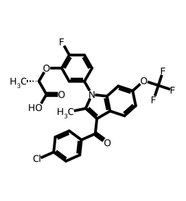 Cc1c(C(=O)c2ccc(Cl)cc2)c2ccc(OC(F)(F)F)cc2n1-c1ccc(F)c(O[C@@H](C)C(=O)O)c1